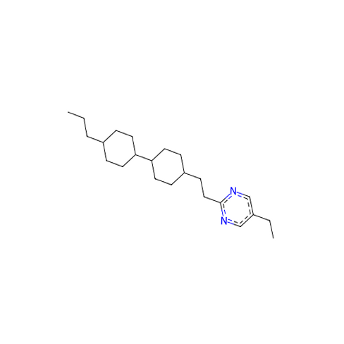 CCCC1CCC(C2CCC(CCc3ncc(CC)cn3)CC2)CC1